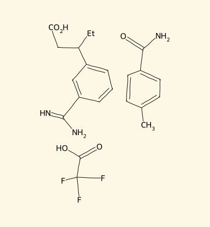 CCC(CC(=O)O)c1cccc(C(=N)N)c1.Cc1ccc(C(N)=O)cc1.O=C(O)C(F)(F)F